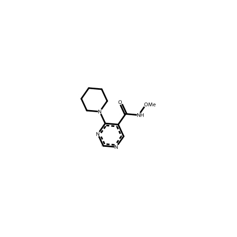 CONC(=O)c1cn[c]nc1N1CCCCC1